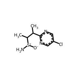 CC(c1ncc(Cl)cn1)C(C)[S+](N)[O-]